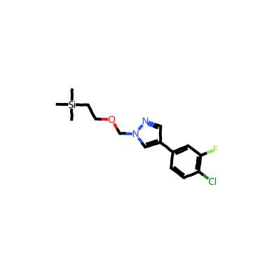 C[Si](C)(C)CCOCn1cc(-c2ccc(Cl)c(F)c2)cn1